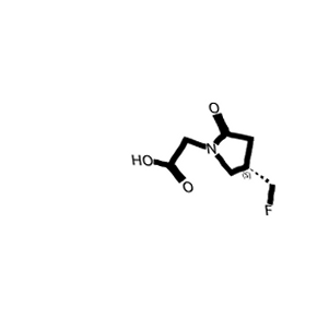 O=C(O)CN1C[C@@H](CF)CC1=O